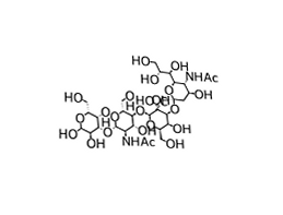 CC(=O)N[C@H]1[C@H](O[C@H]2[C@@H](O)[C@@H](CO)OC(O)[C@@H]2O)O[C@H](CO)[C@@H](O[C@@H]2O[C@H](CO)[C@H](O)[C@H](O[C@]3(C(=O)O)C[C@H](O)[C@@H](NC(C)=O)[C@H]([C@H](O)[C@H](O)CO)O3)[C@H]2O)[C@@H]1O